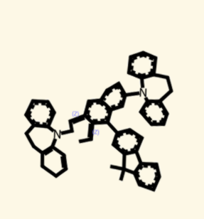 C/C=c1/c(-c2ccc3c(c2)C(C)(C)c2ccccc2-3)c2cc(N3c4ccccc4CCc4ccccc43)ccc2c/c1=C/CN1C2=C(CCC=C2)CCc2ccccc21